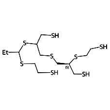 CCC(SCCS)SC(CS)CSC[C@H](CS)SCCS